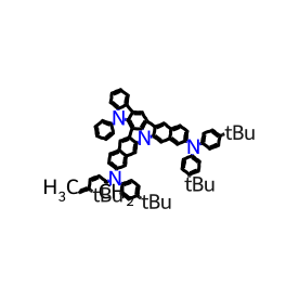 C=C(/C=C\C(=C/C)C(C)(C)C)N(c1ccc(C(C)(C)C)cc1)c1ccc2cc3c4c5c(cc6c7cc8ccc(N(c9ccc(C(C)(C)C)cc9)c9ccc(C(C)(C)C)cc9)cc8cc7n(c3cc2c1)c64)c1ccccc1n5-c1ccccc1